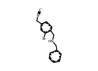 [C-]#[N+]Cc1ccc(CNCc2ccccc2)c(Br)c1